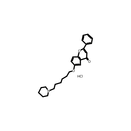 Cl.O=c1cc(-c2ccccc2)oc2ccc(OCCCCCCN3CCCCC3)cc12